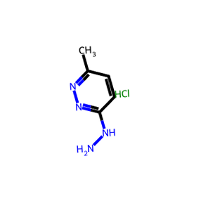 Cc1ccc(NN)nn1.Cl